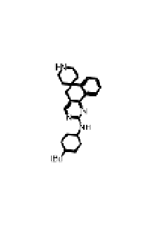 CC(C)(C)C1CCC(Nc2ncc3c(n2)-c2ccccc2C2(CCNCC2)C3)CC1